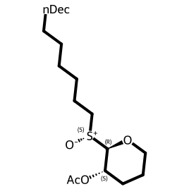 CCCCCCCCCCCCCCCC[S@@+]([O-])[C@H]1OCCC[C@@H]1OC(C)=O